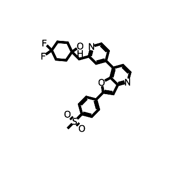 CS(=O)(=O)c1ccc(-c2cc3nccc(-c4ccnc(CC5(O)CCC(F)(F)CC5)c4)c3o2)cc1